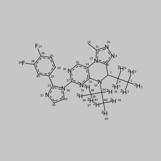 [2H]C([2H])([2H])C([2H])([2H])C1c2nnc(C)n2-c2cnc(-n3ccnc3-c3ccc(F)c(F)c3)nc2N1C([2H])(C([2H])([2H])[2H])C([2H])([2H])[2H]